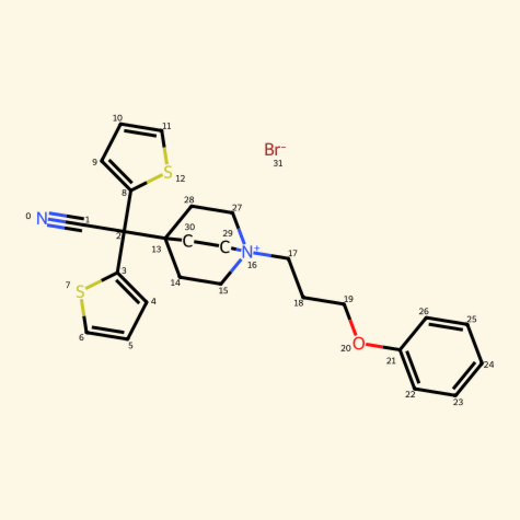 N#CC(c1cccs1)(c1cccs1)C12CC[N+](CCCOc3ccccc3)(CC1)CC2.[Br-]